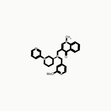 COc1cc(CN(Cc2cn(C)c3ccccc3c2=O)[C@H]2CCCN(c3cccnc3)C2)ccn1